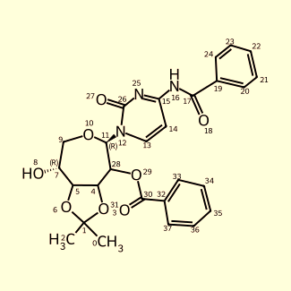 CC1(C)OC2C(O1)[C@H](O)CO[C@@H](n1ccc(NC(=O)c3ccccc3)nc1=O)C2OC(=O)c1ccccc1